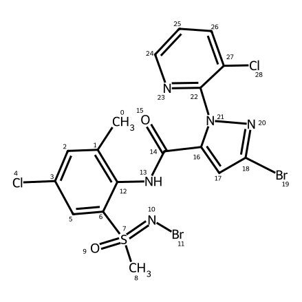 Cc1cc(Cl)cc(S(C)(=O)=NBr)c1NC(=O)c1cc(Br)nn1-c1ncccc1Cl